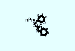 CCCN(Sc1nc2ccccc2s1)c1ccccc1